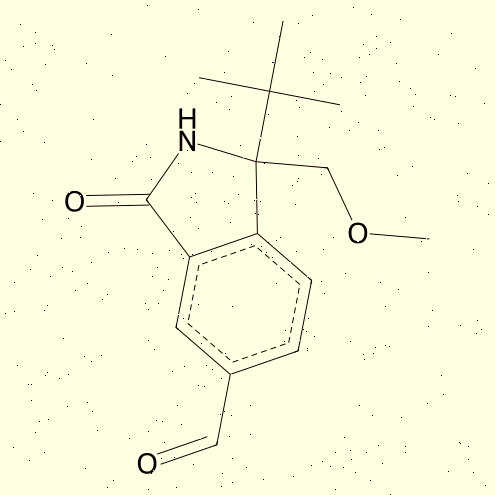 COCC1(C(C)(C)C)NC(=O)c2cc(C=O)ccc21